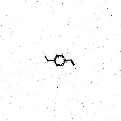 [CH]=Cc1ccc(CC)cc1